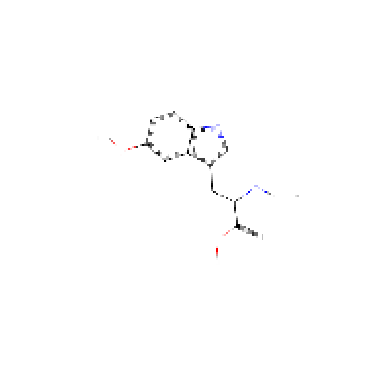 B=C(OCC)C(Cc1c[nH]c2ccc(OC(=O)OCC)cc12)NC(=O)OCC